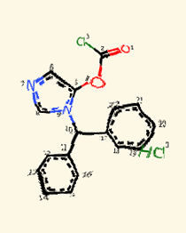 Cl.O=C(Cl)Oc1cncn1C(c1ccccc1)c1ccccc1